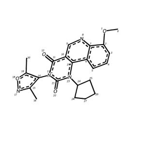 COc1cccc2c1ncc1c(=O)n(-c3c(C)noc3C)c(=O)n(C3CCCC3)c12